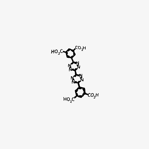 O=C(O)c1cc(C(=O)O)cc(-c2nnc(-c3nnc(-c4cc(C(=O)O)cc(C(=O)O)c4)nn3)nn2)c1